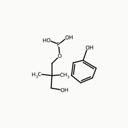 CC(C)(CO)COP(O)O.Oc1ccccc1